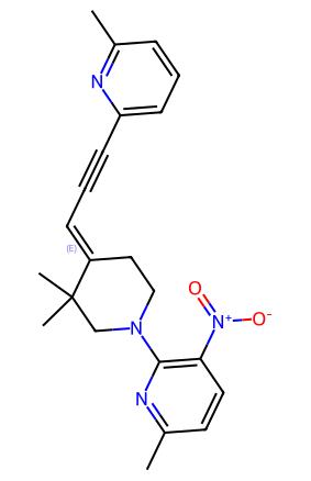 Cc1cccc(C#C/C=C2\CCN(c3nc(C)ccc3[N+](=O)[O-])CC2(C)C)n1